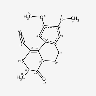 COc1cc2c(cc1OC)C1=C(C#N)SC(C)C(=O)N1CC2